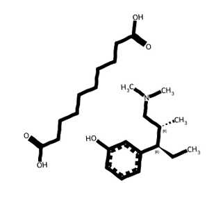 CC[C@@H](c1cccc(O)c1)[C@@H](C)CN(C)C.O=C(O)CCCCCCCCC(=O)O